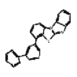 c1ccc(-c2cccc(-c3cccc4c3sc3nc5ccccc5n34)c2)cc1